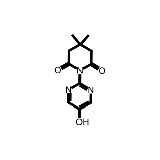 CC1(C)CC(=O)N(c2ncc(O)cn2)C(=O)C1